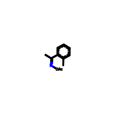 CC(=O)O/N=C(/C)c1ccccc1C